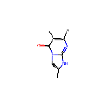 CCc1nc2[nH]c(C)cn2c(=O)c1C